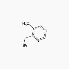 Cc1cccnc1CC(C)C